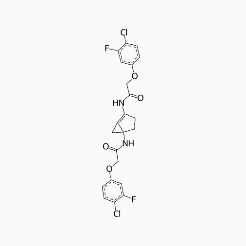 O=C(COc1ccc(Cl)c(F)c1)NC1=C2CC2(NC(=O)COc2ccc(Cl)c(F)c2)CC1